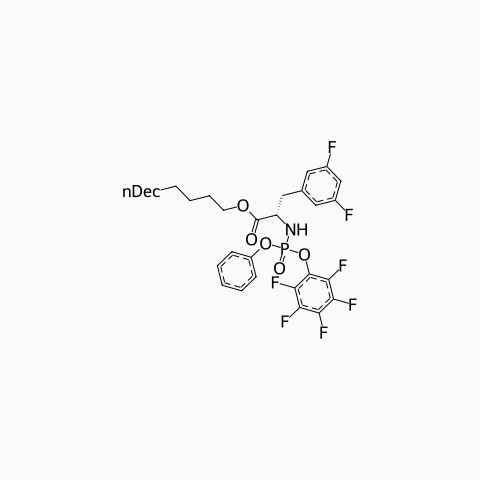 CCCCCCCCCCCCCCOC(=O)[C@H](Cc1cc(F)cc(F)c1)NP(=O)(Oc1ccccc1)Oc1c(F)c(F)c(F)c(F)c1F